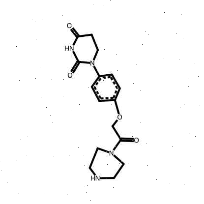 O=C1CCN(c2ccc(OCC(=O)N3CCNCC3)cc2)C(=O)N1